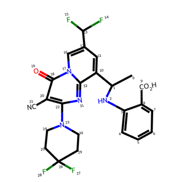 CC(Nc1ccccc1C(=O)O)c1cc(C(F)F)cn2c(=O)c(C#N)c(N3CCC(F)(F)CC3)nc12